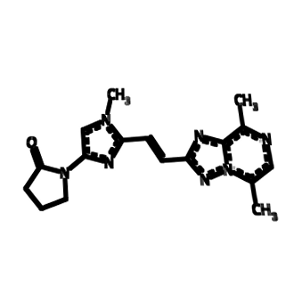 Cc1ncc(C)n2nc(C=Cc3nc(N4CCCC4=O)cn3C)nc12